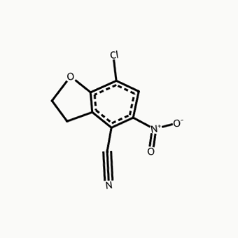 N#Cc1c([N+](=O)[O-])cc(Cl)c2c1CCO2